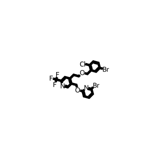 FC(F)(F)c1cc(CCOCc2cc(Br)ccc2Cl)c(COc2cccc(Br)n2)cn1